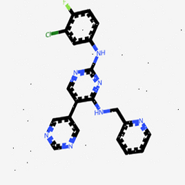 Fc1ccc(Nc2ncc(-c3cncnc3)c(NCc3ccccn3)n2)cc1Cl